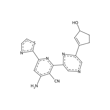 N#Cc1c(N)cc(-c2nccs2)nc1-c1cncc(C2=CC(O)CC2)n1